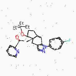 CC[Si](CC)(CC)O[C@@]1(CC(=O)c2ccccn2)CCC2=Cc3c(cnn3-c3ccc(F)cc3)C[C@@]21C